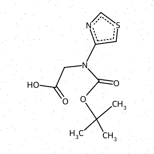 CC(C)(C)OC(=O)N(CC(=O)O)c1cscn1